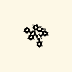 C1=CCC(c2ccc(-c3nc(-c4ccccc4)nc(-c4cccc5oc6nc7ccccc7cc6c45)n3)c3ccccc23)C=C1